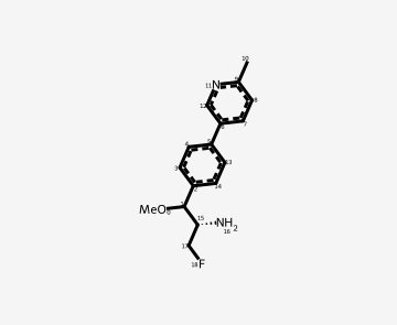 COC(c1ccc(-c2ccc(C)nc2)cc1)[C@H](N)CF